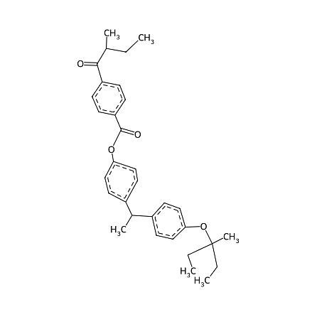 CCC(C)C(=O)c1ccc(C(=O)Oc2ccc(C(C)c3ccc(OC(C)(CC)CC)cc3)cc2)cc1